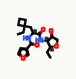 CC[C@@H]1OCC(=O)[C@H]1NC(=O)[C@H](CC1(CC)CCC1)NC(=O)c1ccoc1